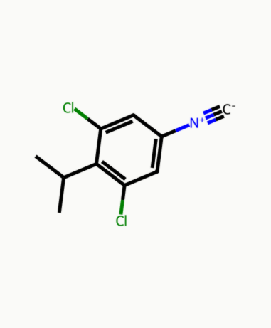 [C-]#[N+]c1cc(Cl)c(C(C)C)c(Cl)c1